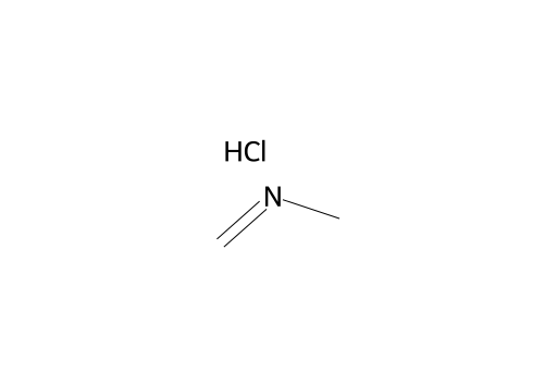 C=NC.Cl